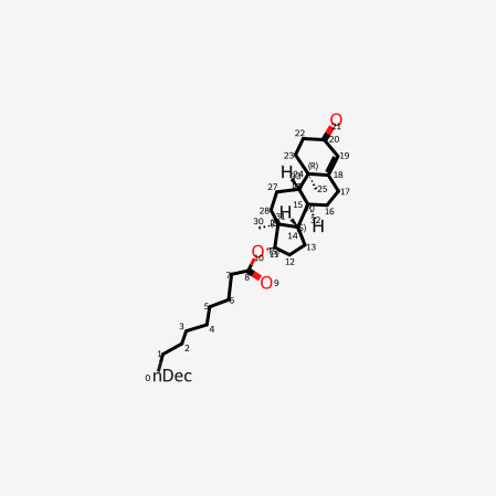 CCCCCCCCCCCCCCCCCC(=O)O[C@H]1CC[C@H]2[C@@H]3CCC4=CC(=O)CC[C@]4(C)[C@H]3CC[C@]12C